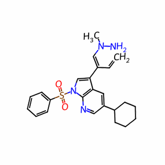 C=C/C(=C\N(C)N)c1cn(S(=O)(=O)c2ccccc2)c2ncc(C3CCCCC3)cc12